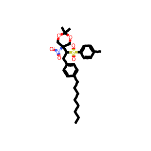 CCCCCCCCc1ccc(CC(C2([N+](=O)[O-])COC(C)(C)OC2)S(=O)(=O)c2ccc(C)cc2)cc1